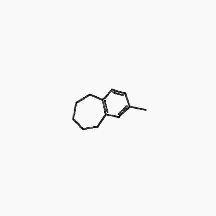 Cc1ccc2c(c1)CCCCC2